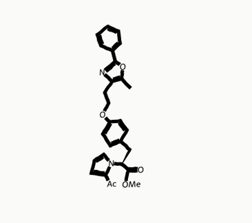 COC(=O)[C@H](Cc1ccc(OCCc2nc(-c3ccccc3)oc2C)cc1)n1cccc1C(C)=O